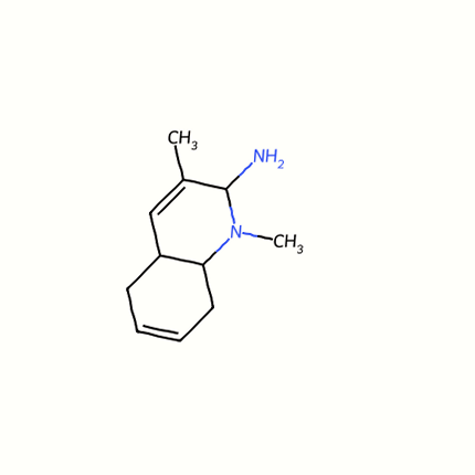 CC1=CC2CC=CCC2N(C)C1N